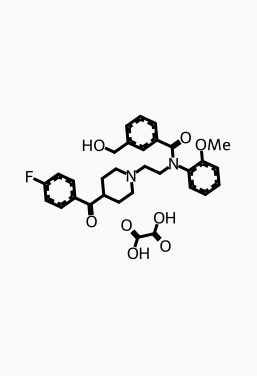 COc1ccccc1N(CCN1CCC(C(=O)c2ccc(F)cc2)CC1)C(=O)c1cccc(CO)c1.O=C(O)C(=O)O